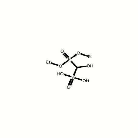 CCOP(=O)(OCC)C(O)P(=O)(O)O